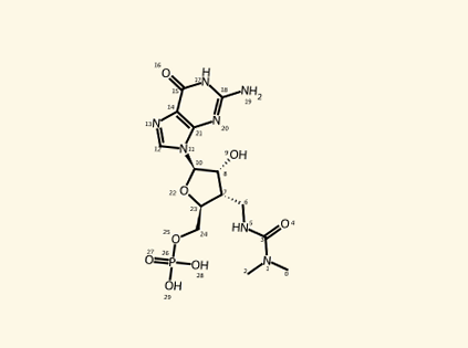 CN(C)C(=O)NC[C@H]1[C@@H](O)[C@H](n2cnc3c(=O)[nH]c(N)nc32)O[C@@H]1COP(=O)(O)O